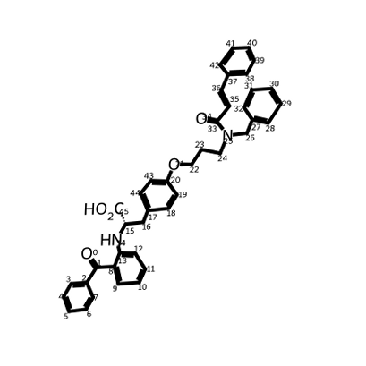 O=C(c1ccccc1)c1ccccc1N[C@@H](Cc1ccc(OCCCN(Cc2ccccc2)C(=O)C=Cc2ccccc2)cc1)C(=O)O